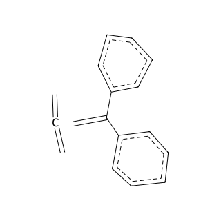 C=C(c1ccccc1)c1ccccc1.C=C=C